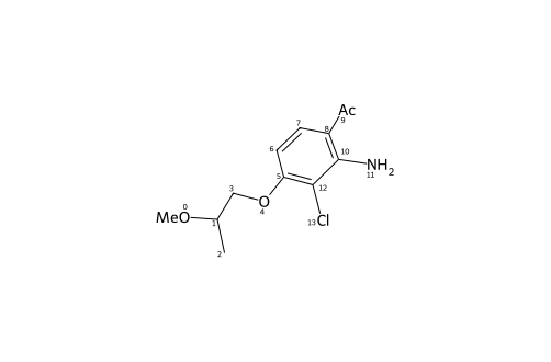 COC(C)COc1ccc(C(C)=O)c(N)c1Cl